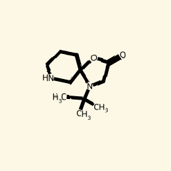 CC(C)(C)N1CC(=O)OC12CCCNC2